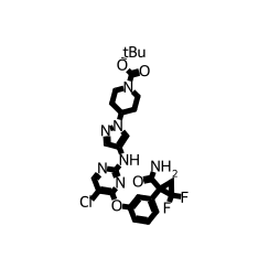 CC(C)(C)OC(=O)N1CCC(n2cc(Nc3ncc(Cl)c(Oc4cccc(C5(C(N)=O)CC5(F)F)c4)n3)cn2)CC1